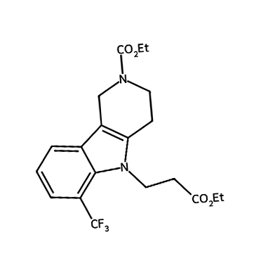 CCOC(=O)CCn1c2c(c3cccc(C(F)(F)F)c31)CN(C(=O)OCC)CC2